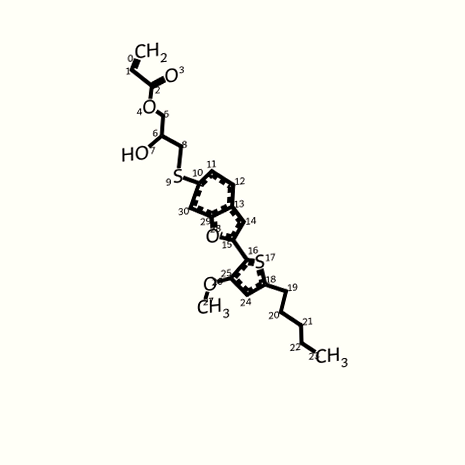 C=CC(=O)OCC(O)CSc1ccc2cc(-c3sc(CCCCC)cc3OC)oc2c1